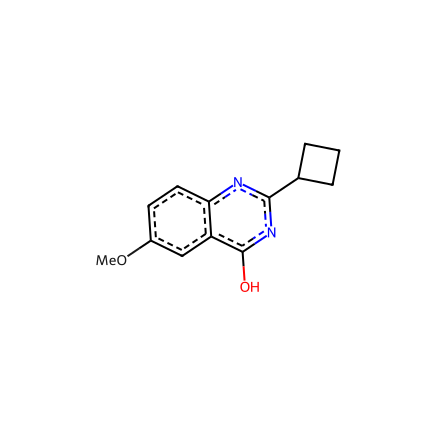 COc1ccc2nc(C3CCC3)nc(O)c2c1